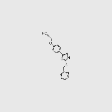 C#CCOc1ccc(-c2nnc(SCc3ccccn3)o2)cc1